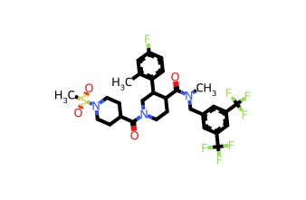 Cc1cc(F)ccc1C1CN(C(=O)C2CCN(S(C)(=O)=O)CC2)CCC1C(=O)N(C)Cc1cc(C(F)(F)F)cc(C(F)(F)F)c1